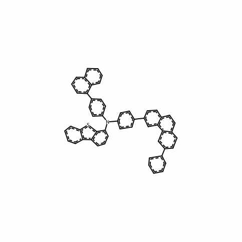 c1ccc(-c2ccc3ccc4ccc(-c5ccc(N(c6ccc(-c7cccc8ccccc78)cc6)c6cccc7c6sc6ccccc67)cc5)cc4c3c2)cc1